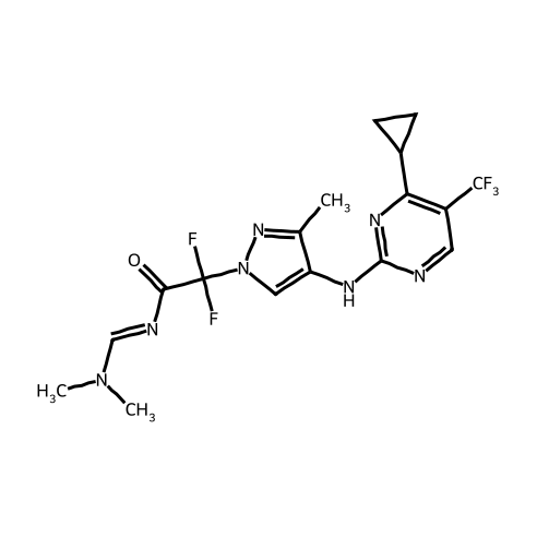 Cc1nn(C(F)(F)C(=O)N=CN(C)C)cc1Nc1ncc(C(F)(F)F)c(C2CC2)n1